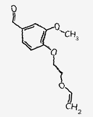 C=COCCOc1ccc(C=O)cc1OC